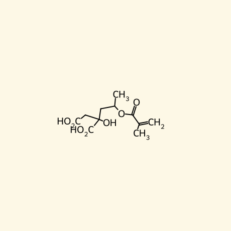 C=C(C)C(=O)OC(C)CC(O)(CC(=O)O)C(=O)O